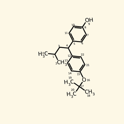 CC(C)CC(c1ccc(O)cc1)c1ccc(OC(C)(C)C)cc1